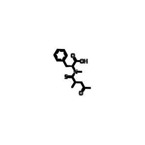 CC(=O)CC(C)C(=S)N(C)[C@@H](Cc1ccccc1)C(=O)O